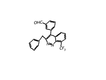 O=Cc1cccc(-c2c(Cc3ccccc3)nnc3c(C(F)(F)F)cccc23)c1